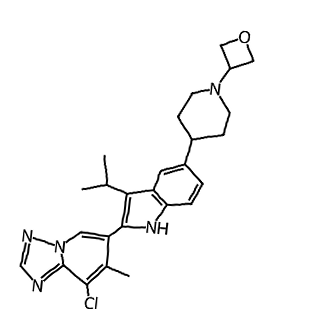 Cc1c(-c2[nH]c3ccc(C4CCN(C5COC5)CC4)cc3c2C(C)C)cn2ncnc2c1Cl